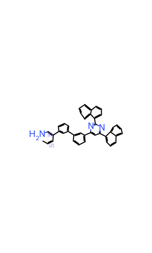 C/C=C\C(=C/N)c1cccc(-c2cccc(-c3cc(-c4cccc5ccccc45)nc(-c4cccc5ccccc45)n3)c2)c1